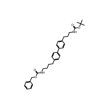 CC(C)(C)OC(=O)NCCCc1ccc(-c2ccc(CCCCNC(=O)OCc3ccccc3)cc2)cc1